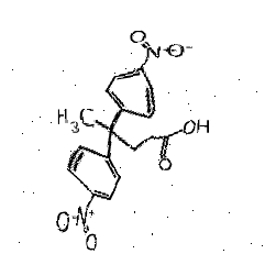 CC(CCC(=O)O)(c1ccc([N+](=O)[O-])cc1)c1ccc([N+](=O)[O-])cc1